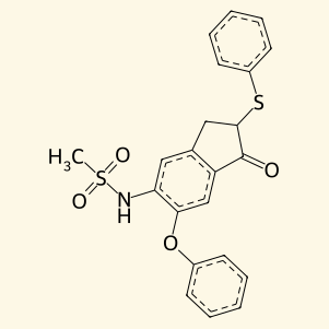 CS(=O)(=O)Nc1cc2c(cc1Oc1ccccc1)C(=O)C(Sc1ccccc1)C2